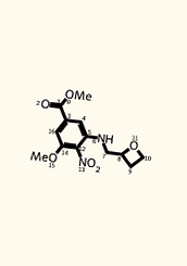 COC(=O)c1cc(NCC2CCO2)c([N+](=O)[O-])c(OC)c1